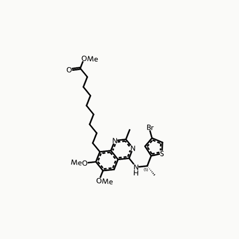 COC(=O)CCCCCCCCc1c(OC)c(OC)cc2c(N[C@@H](C)c3cc(Br)cs3)nc(C)nc12